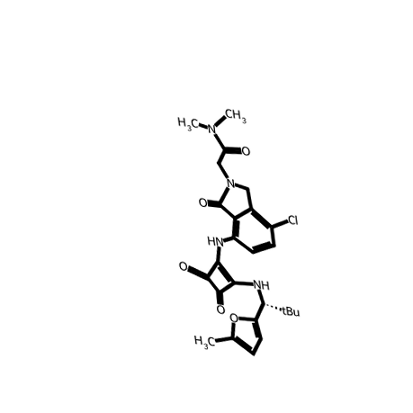 Cc1ccc([C@H](Nc2c(Nc3ccc(Cl)c4c3C(=O)N(CC(=O)N(C)C)C4)c(=O)c2=O)C(C)(C)C)o1